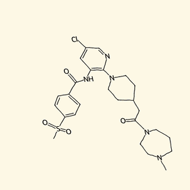 CN1CCCN(C(=O)CC2CCN(c3ncc(Cl)cc3NC(=O)c3ccc(S(C)(=O)=O)cc3)CC2)CC1